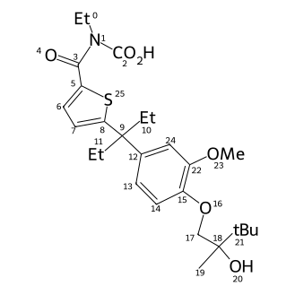 CCN(C(=O)O)C(=O)c1ccc(C(CC)(CC)c2ccc(OCC(C)(O)C(C)(C)C)c(OC)c2)s1